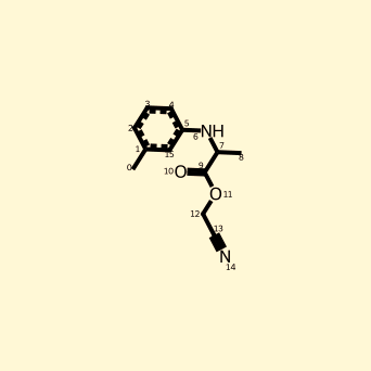 Cc1cccc(NC(C)C(=O)OCC#N)c1